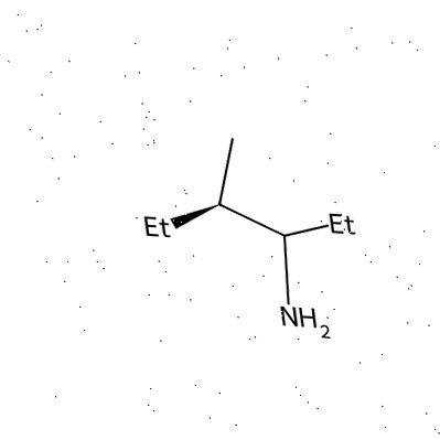 CCC(N)[C@H](C)CC